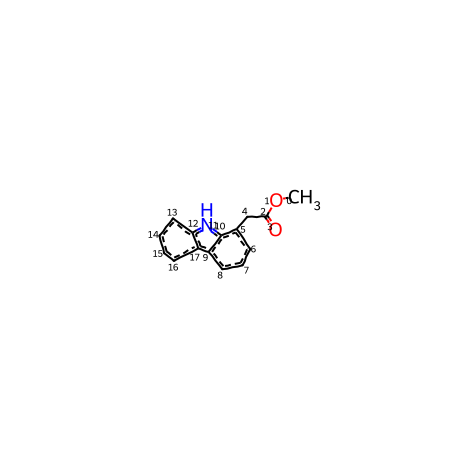 COC(=O)Cc1cccc2c1[nH]c1ccccc12